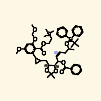 COCOc1cc(OC)cc(C2CC2C[C@@H]2OC(C)(C)O[C@@H]2C(/C=C\CC(C)O[Si](c2ccccc2)(c2ccccc2)C(C)(C)C)OC(=O)c2ccccc2)c1C(=O)OCC[Si](C)(C)C